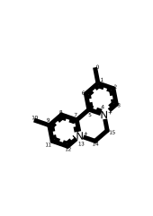 Cc1cc[n+]2c(c1)-c1cc(C)cc[n+]1CC2